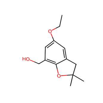 CCOc1cc(CO)c2c(c1)CC(C)(C)O2